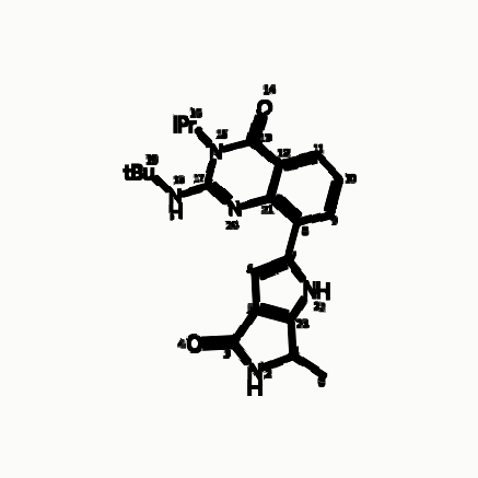 CC1NC(=O)c2cc(-c3cccc4c(=O)n(C(C)C)c(NC(C)(C)C)nc34)[nH]c21